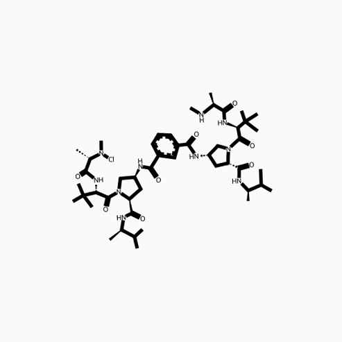 CN[C@@H](C)C(=O)N[C@H](C(=O)N1C[C@@H](NC(=O)c2cccc(C(=O)N[C@H]3C[C@@H](C(=O)N[C@H](C)C(C)C)N(C(=O)[C@@H](NC(=O)[C@H](C)N(C)Cl)C(C)(C)C)C3)c2)C[C@H]1C(=O)N[C@H](C)C(C)C)C(C)(C)C